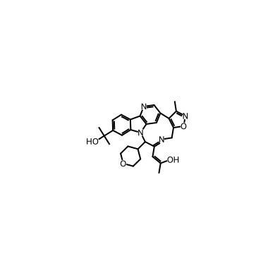 C/C(O)=C/C1=N\Cc2onc(C)c2-c2cnc3c4ccc(C(C)(C)O)cc4n(c3c2)C1C1CCOCC1